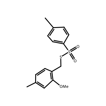 COc1cc(C)ccc1CSS(=O)(=O)c1ccc(C)cc1